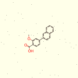 COc1cc(-c2ccc3ccccc3c2)ccc1C(=O)O